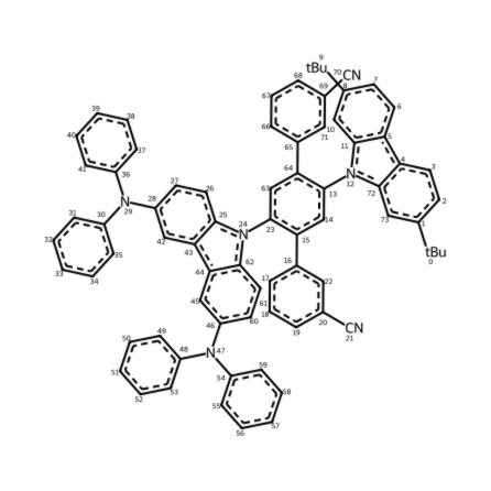 CC(C)(C)c1ccc2c3ccc(C(C)(C)C)cc3n(-c3cc(-c4cccc(C#N)c4)c(-n4c5ccc(N(c6ccccc6)c6ccccc6)cc5c5cc(N(c6ccccc6)c6ccccc6)ccc54)cc3-c3cccc(C#N)c3)c2c1